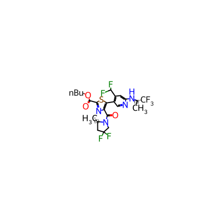 CCCCOC(=O)c1nc(C(=O)N2CC(F)(F)C[C@@H]2C)c(-c2cnc(N[C@@H](C)C(F)(F)F)cc2C(F)F)s1